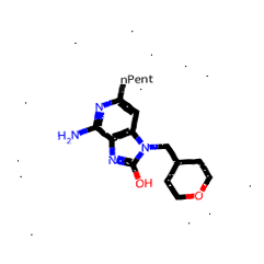 CCCCCc1cc2c(nc(O)n2CC2CCOCC2)c(N)n1